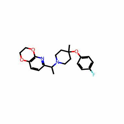 CC(c1ccc2c(n1)OCCO2)N1CCC(C)(Oc2ccc(F)cc2)CC1